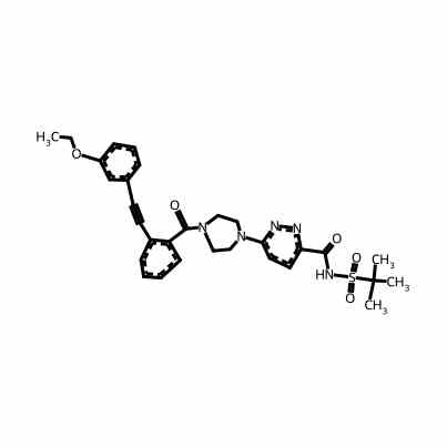 CCOc1cccc(C#Cc2ccccc2C(=O)N2CCN(c3ccc(C(=O)NS(=O)(=O)C(C)(C)C)nn3)CC2)c1